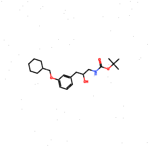 CC(C)(C)OC(=O)NCC(O)Cc1cccc(OCC2CCCCC2)c1